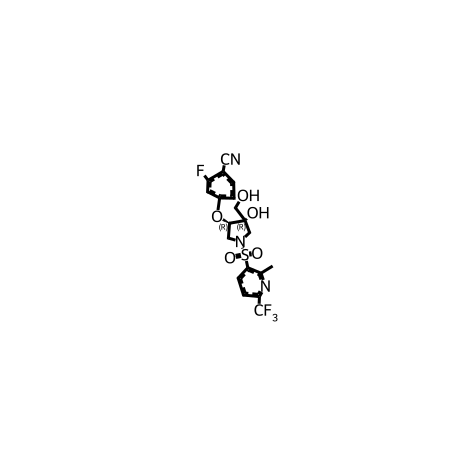 Cc1nc(C(F)(F)F)ccc1S(=O)(=O)N1C[C@@H](Oc2ccc(C#N)c(F)c2)[C@](O)(CO)C1